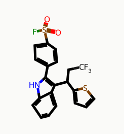 O=S(=O)(F)c1ccc(-c2[nH]c3ccccc3c2C(CC(F)(F)F)c2cccs2)cc1